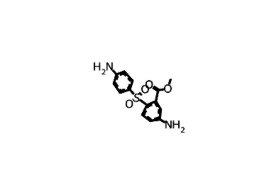 COC(=O)c1cc(N)ccc1S(=O)(=O)c1ccc(N)cc1